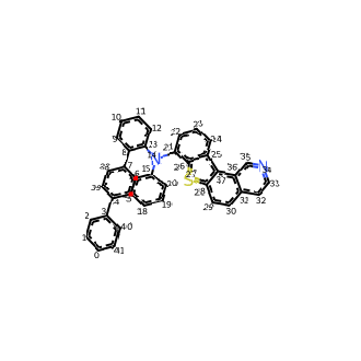 c1ccc(-c2ccc(-c3ccccc3N(c3ccccc3)c3cccc4c3sc3ccc5ccncc5c34)cc2)cc1